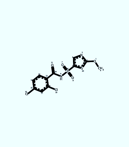 COc1ncc(S(=O)(=O)NC(=O)c2ccc(Cl)cc2Cl)s1